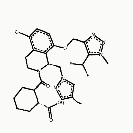 Cc1cnn(C[C@@H]2c3c(OCc4nnn(C)c4C(F)F)ccc(Cl)c3CCN2C(=O)C2CCCC[C@H]2C(=O)O)c1